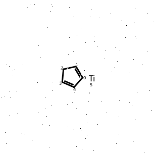 C1=CCC=C1.[Ti]